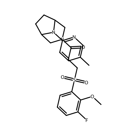 COc1c(F)cccc1S(=O)(=O)CCC(=O)N1CC2CCC(C1)N2c1ccc(C)cn1